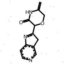 C=C1COC(C2=Nc3ccncc3C2)C(=O)N1